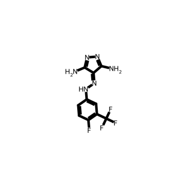 NC1=NN=C(N)C1=NNc1ccc(F)c(C(F)(F)F)c1